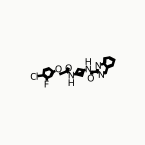 O=C(COc1ccc(Cl)c(F)c1)NC12CC(NC(=O)c3ncc4ccccc4n3)(C1)C2